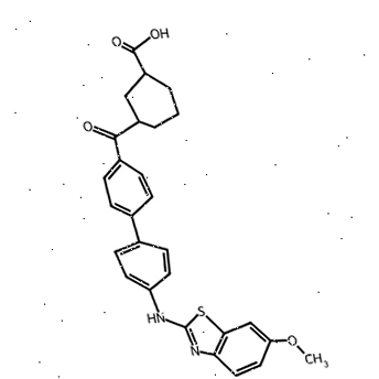 COc1ccc2nc(Nc3ccc(-c4ccc(C(=O)C5CCCC(C(=O)O)C5)cc4)cc3)sc2c1